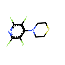 Fc1nc(F)c(F)c(N2CCSCC2)c1F